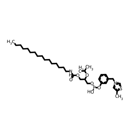 CCCCCCCCCCCCCCCCNC(=O)OCC(COP(O)Oc1cccc(C[n+]2csc(C)c2)c1)OC(C)C